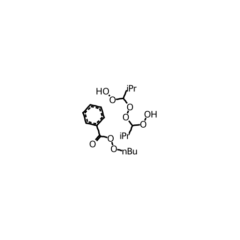 CC(C)C(OO)OOC(OO)C(C)C.CCCCOOC(=O)c1ccccc1